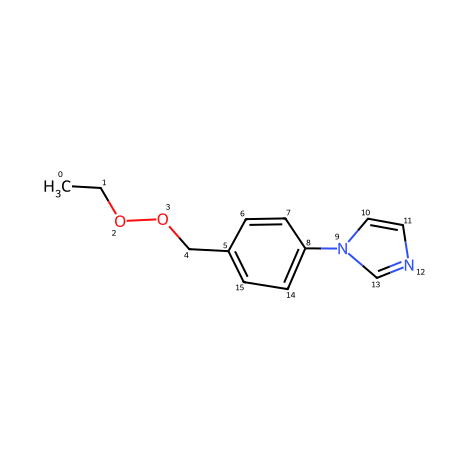 CCOOCc1ccc(-n2ccnc2)cc1